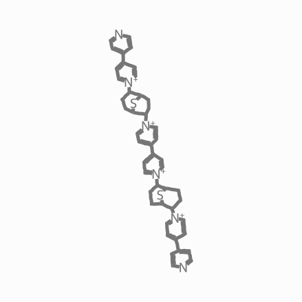 c1cc(-c2cc[n+](C3CCC4SC3CCC4[n+]3ccc(-c4cc[n+](C5CCC6SC5CCC6[n+]5ccc(-c6ccncc6)cc5)cc4)cc3)cc2)ccn1